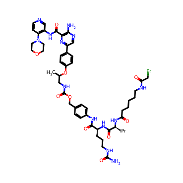 CC(CNC(=O)OCc1ccc(NC(=O)[C@H](CCCNC(N)=O)NC(=O)[C@@H](NC(=O)CCCCCNC(=O)CBr)C(C)C)cc1)Oc1ccc(-c2cnc(N)c(C(=O)Nc3cnccc3N3CCOCC3)n2)cc1